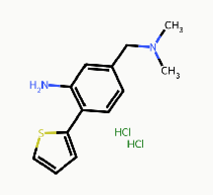 CN(C)Cc1ccc(-c2cccs2)c(N)c1.Cl.Cl